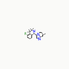 Cc1ccn2c(C3=NC(C)(C)C(C)(C)c4c(F)cccc43)cnc2c1